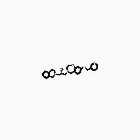 O[C@H](CN1CCc2ccccc2C1)CN1CCOc2cc(OCc3cccnc3)ccc2C1